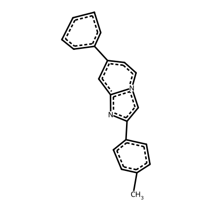 Cc1ccc(-c2cn3ccc(-c4ccccc4)cc3n2)cc1